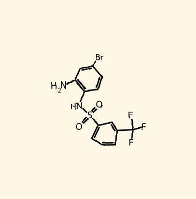 Nc1cc(Br)ccc1NS(=O)(=O)c1cccc(C(F)(F)F)c1